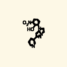 O=[N+]([O-])c1cccc(-n2ccn3nc(-c4cccnc4)cc23)c1O